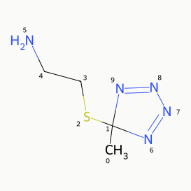 CC1(SCCN)N=NN=N1